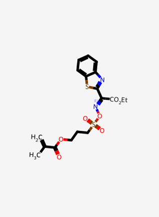 C=C(C)C(=O)OCCCS(=O)(=O)O/N=C(\C(=O)OCC)c1nc2ccccc2s1